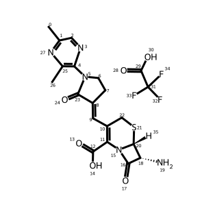 Cc1cnc(N2CC/C(=C\C3=C(C(=O)O)N4C(=O)[C@@H](N)[C@H]4SC3)C2=O)c(C)n1.O=C(O)C(F)(F)F